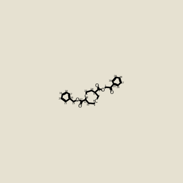 O=C(COC(=O)C1CCCCC(C(=O)OCc2ccccc2)CCC1)c1ccccc1